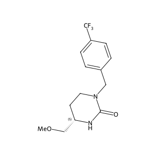 COC[C@@H]1CCN(Cc2ccc(C(F)(F)F)cc2)C(=O)N1